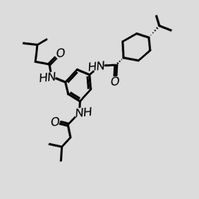 CC(C)CC(=O)Nc1cc(NC(=O)CC(C)C)cc(NC(=O)[C@H]2CC[C@@H](C(C)C)CC2)c1